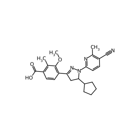 COc1c(C2=NN(c3ccc(C#N)c(C)n3)C(C3CCCC3)C2)ccc(C(=O)O)c1C